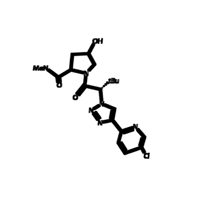 CNC(=O)C1CC(O)CN1C(=O)[C@@H](n1cc(-c2ccc(Cl)cn2)nn1)C(C)(C)C